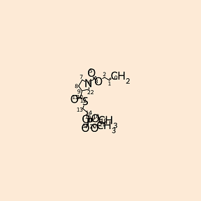 C=CCOC(=O)N1CCC(C(=O)SCCOP(=O)(OC)OC)C1